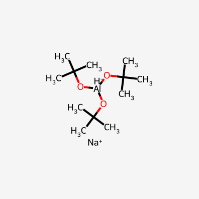 CC(C)(C)[O][AlH-]([O]C(C)(C)C)[O]C(C)(C)C.[Na+]